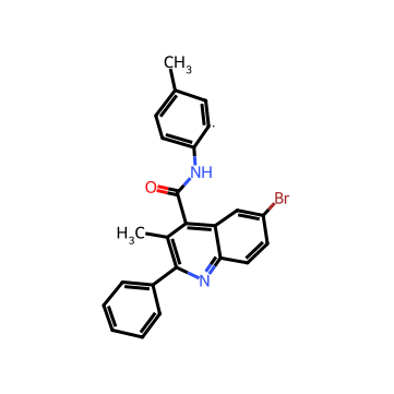 Cc1c[c]c(NC(=O)c2c(C)c(-c3ccccc3)nc3ccc(Br)cc23)cc1